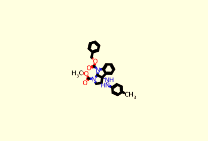 COC(=O)N1CC[C@]2(NNc3ccc(C)cc3)c3ccccc3N(C(=O)OCc3ccccc3)C12